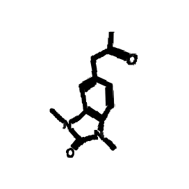 CC(=O)Cc1ccc2c(c1)n(C)c(=O)n2C